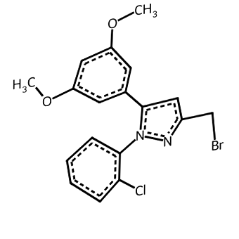 COc1cc(OC)cc(-c2cc(CBr)nn2-c2ccccc2Cl)c1